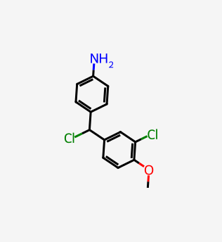 COc1ccc(C(Cl)c2ccc(N)cc2)cc1Cl